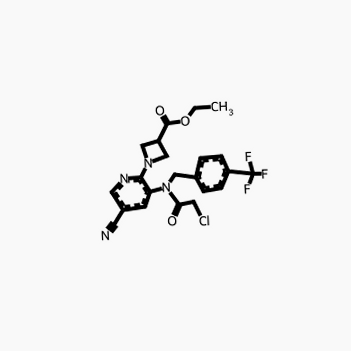 CCOC(=O)C1CN(c2ncc(C#N)cc2N(Cc2ccc(C(F)(F)F)cc2)C(=O)CCl)C1